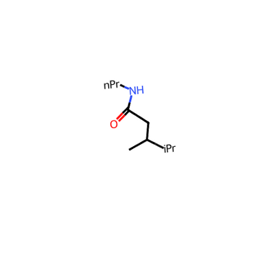 CCCNC(=O)CC(C)C(C)C